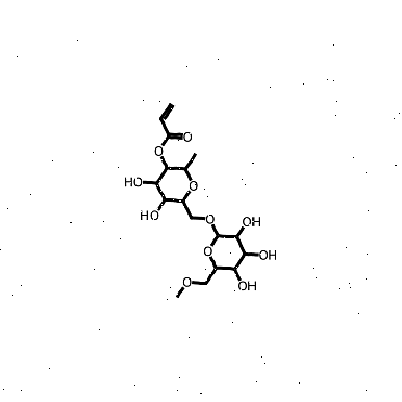 C=CC(=O)OC1C(C)OC(COC2OC(COC)C(O)C(O)C2O)C(O)C1O